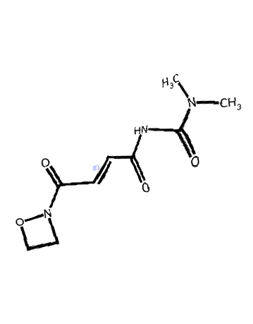 CN(C)C(=O)NC(=O)/C=C/C(=O)N1CCO1